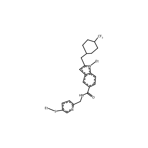 CCSc1ccc(CNC(=O)c2ccc3c(c2)cc(CC2CCC(C(F)(F)F)CC2)n3CC)nc1